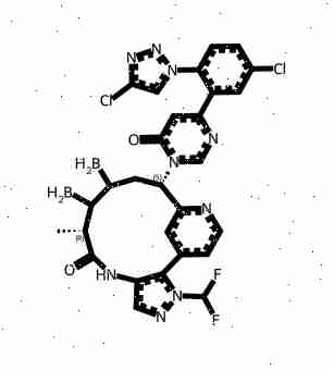 BC1C[C@H](n2cnc(-c3cc(Cl)ccc3-n3cc(Cl)nn3)cc2=O)c2cc(ccn2)-c2c(cnn2C(F)F)NC(=O)[C@H](C)C1B